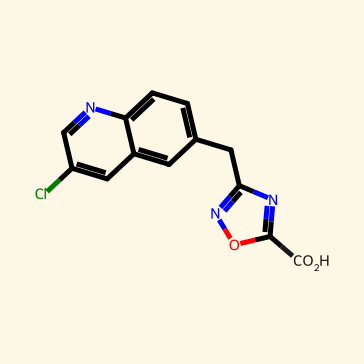 O=C(O)c1nc(Cc2ccc3ncc(Cl)cc3c2)no1